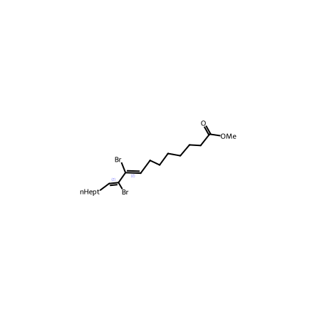 CCCCCCC/C=C(Br)/C(Br)=C/CCCCCCC(=O)OC